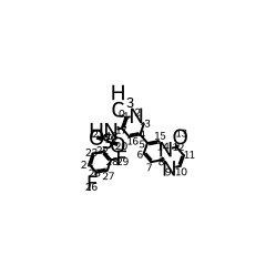 Cc1ncc(-c2ccc3nccc(=O)n3c2)cc1NS(=O)(=O)c1ccc(F)cc1F